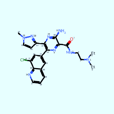 CCN(CC)CCNC(=O)c1nc(-c2cc(Cl)c3ncccc3c2)c(-c2ccn(C)n2)nc1N